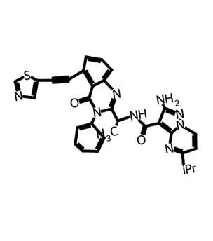 CC(C)c1ccn2nc(N)c(C(=O)N[C@@H](C)c3nc4cccc(C#Cc5cncs5)c4c(=O)n3-c3ccccc3)c2n1